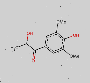 COc1cc(C(=O)C(C)O)cc(OC)c1O